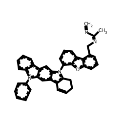 C=N/C(C)=N\Cc1cccc2oc3c(-n4c5c(c6cc7c(cc64)c4ccccc4n7-c4ccccc4)C=CCC5)cccc3c12